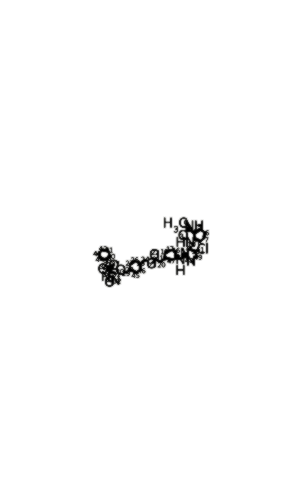 CNC(=O)c1ccccc1Nc1nc(Nc2cccc(CC(=O)OCc3ccc(COc4nonc4S(=O)(=O)c4ccccc4)cc3)c2)ncc1Cl